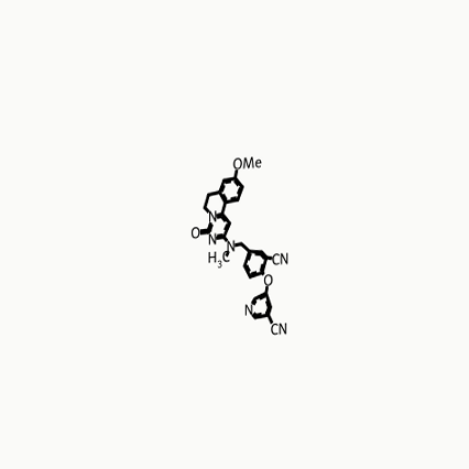 COc1ccc2c(c1)CCn1c-2cc(N(C)Cc2ccc(Oc3cncc(C#N)c3)c(C#N)c2)nc1=O